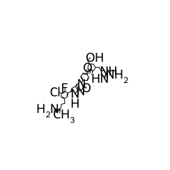 C[C@H](N)CCCc1cc(Cl)c(F)c(-c2cc3cn(-c4ccc([C@@H]5CC(CCNC(=N)N)CC(CO)O5)cc4)c(=O)nc3[nH]2)c1